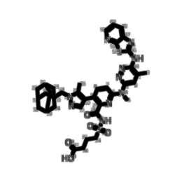 Cc1cc(N(C)c2ccc(-c3cnn(CC45CC6CC(CC(C6)C4)C5)c3C)c(C(=O)NS(=O)(=O)CCCC(=O)O)n2)nnc1Nc1nc2cccnc2s1